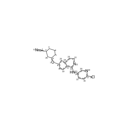 N#C[C@H]1CCC[C@@H](Oc2ccc3c(Nc4ccc(Cl)nc4)nccc3c2)C1